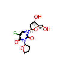 O=c1c(F)cn([C@H]2C[C@H](O)[C@@H](CO)O2)c(=O)n1C1CCCO1